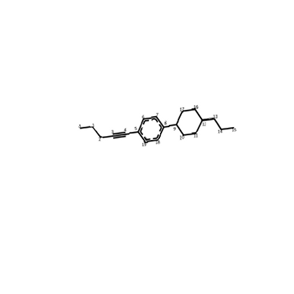 CCCC#Cc1ccc(C2CCC(CCC)CC2)cc1